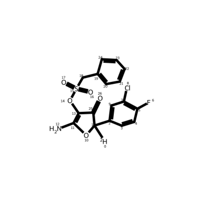 [2H]C1(c2ccc(F)c(Cl)c2)OC(N)=C(OS(=O)(=O)Cc2ccccc2)C1=O